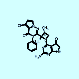 C[C@H]1CN(c2nc(N)nc3c2C(=O)CN3)C1(C)c1nn2ccc(Cl)c2c(=O)n1-c1ccccc1